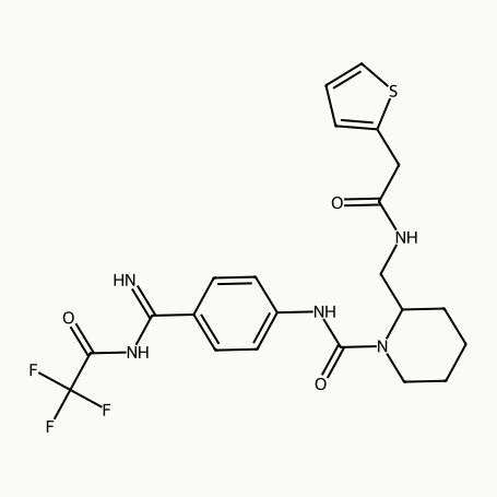 N=C(NC(=O)C(F)(F)F)c1ccc(NC(=O)N2CCCCC2CNC(=O)Cc2cccs2)cc1